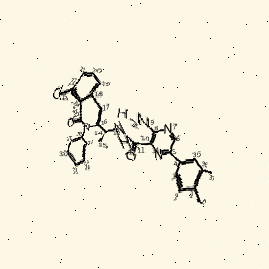 Cc1ccc(-c2cnc(N)c(C(=O)N[C@@H](C)c3cc4cccc(Cl)c4c(=O)n3-c3ccccc3)n2)cc1C